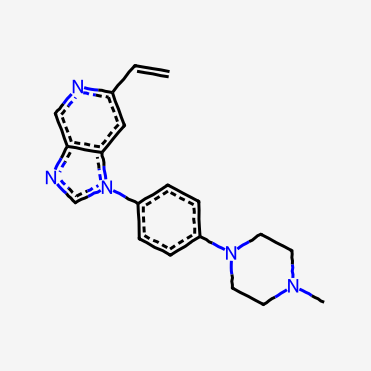 C=Cc1cc2c(cn1)ncn2-c1ccc(N2CCN(C)CC2)cc1